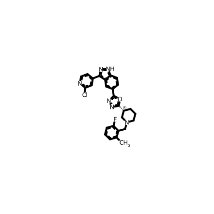 Cc1cccc(F)c1CN1CCC[C@@H](c2nnc(-c3ccc4[nH]nc(-c5ccnc(Cl)c5)c4c3)o2)C1